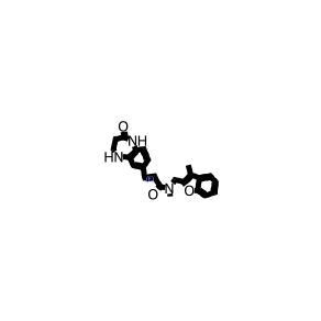 Cc1c(CN(C)C(=O)/C=C/c2ccc3c(c2)NCCC(=O)N3)oc2ccccc12